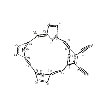 C#CC1=C(C#C)C2=NC1=CC1=NC(=CC3=NC(=CC4=NC(=C2)C=C4)C=C3)C=C1